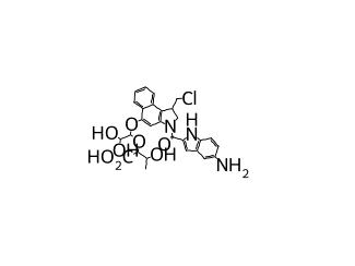 CC(O)C(OC(Oc1cc2c(c3ccccc13)C(CCl)CN2C(=O)c1cc2cc(N)ccc2[nH]1)C(O)O)C(=O)O